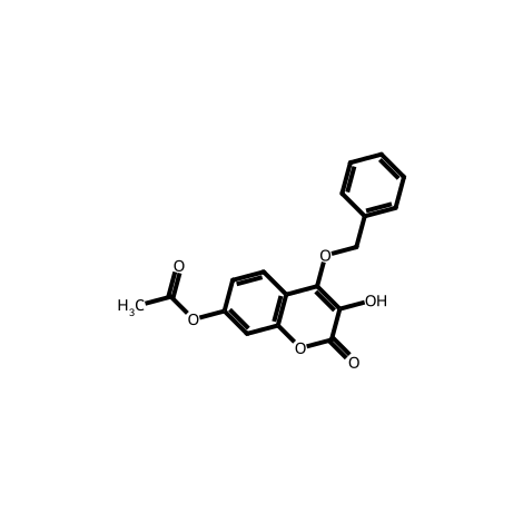 CC(=O)Oc1ccc2c(OCc3ccccc3)c(O)c(=O)oc2c1